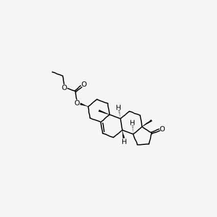 CCOC(=O)O[C@H]1CC[C@@]2(C)C(=CC[C@@H]3[C@@H]2CC[C@]2(C)C(=O)CC[C@@H]32)C1